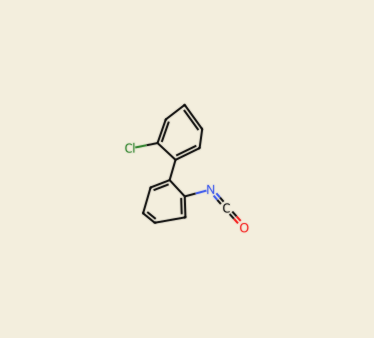 O=C=Nc1ccccc1-c1ccccc1Cl